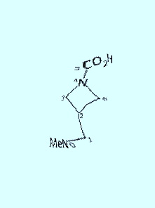 CNCC1CN(C(=O)O)C1